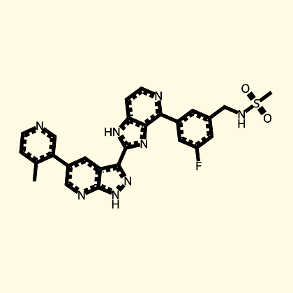 Cc1ccncc1-c1cnc2[nH]nc(-c3nc4c(-c5cc(F)cc(CNS(C)(=O)=O)c5)nccc4[nH]3)c2c1